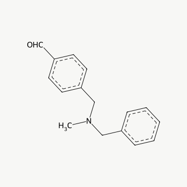 CN(Cc1ccccc1)Cc1ccc(C=O)cc1